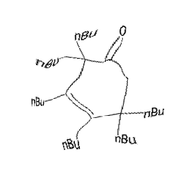 CCCCC1=C(CCCC)C(CCCC)(CCCC)C(=O)CC1(CCCC)CCCC